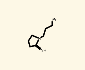 CC(C)CCCN1CCCC1=N